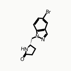 O=C1CC[C@@H](Cn2ncc3cc(Br)ccc32)N1